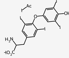 CC(=O)I.NC(Cc1cc(I)c(Oc2cc(I)c(O)c(I)c2)c(I)c1)C(=O)O